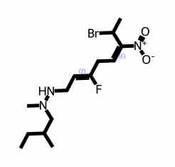 CCC(C)CN(C)NC/C=C(\F)C/C=C(\C(C)Br)[N+](=O)[O-]